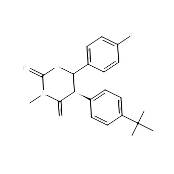 CN1C(=N)NC(c2ccc(F)cc2)[C@@H](c2ccc(C(C)(F)F)cc2)C1=O